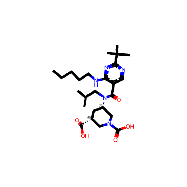 CCCCCNc1nc(C(C)(C)C)ncc1C(=O)N(CC(C)C)[C@H]1C[C@@H](C(=O)O)CN(C(=O)O)C1